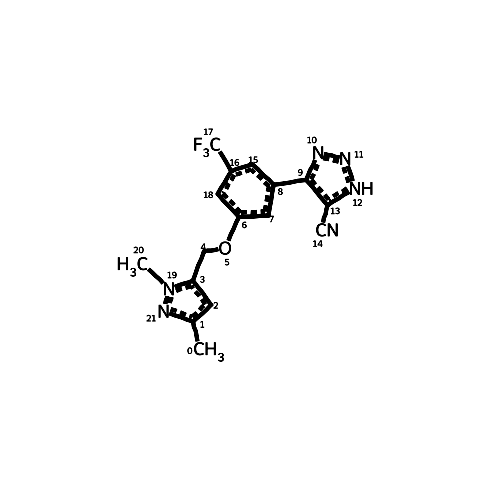 Cc1cc(COc2cc(-c3nn[nH]c3C#N)cc(C(F)(F)F)c2)n(C)n1